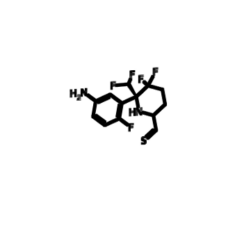 Nc1ccc(F)c([C@@]2(C(F)F)NC(C=S)CCC2(F)F)c1